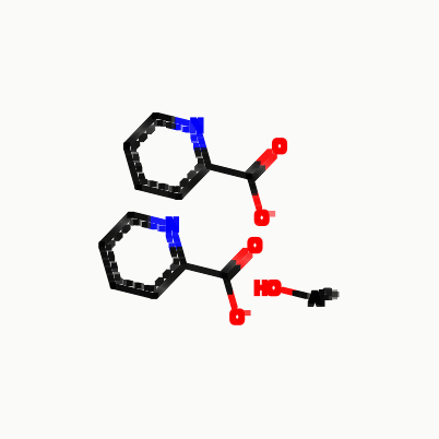 O=C([O-])c1ccccn1.O=C([O-])c1ccccn1.[OH][Al+2]